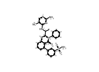 CC(Nc1nc(N)ncc1C#N)c1nc2cccc(-c3cccc(S(N)(=O)=O)c3)c2c(=O)n1-c1ccccc1